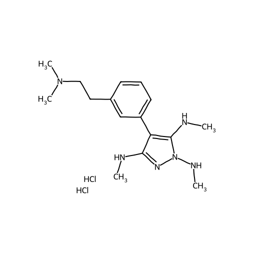 CNc1nn(NC)c(NC)c1-c1cccc(CCN(C)C)c1.Cl.Cl